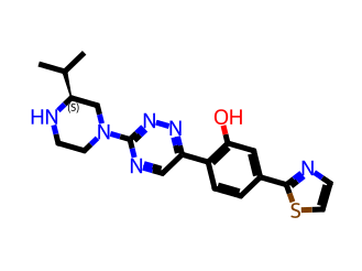 CC(C)[C@H]1CN(c2ncc(-c3ccc(-c4nccs4)cc3O)nn2)CCN1